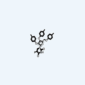 Cc1ccc(OC[C@H]2O[C@@H](n3cc(I)c(=O)[nH]c3=O)[C@@H](Oc3ccc(C)cc3)[C@@H]2Oc2ccc(C)cc2)cc1